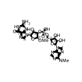 CNc1ncnc2c1ncn2[C@@H]1O[C@H](COP(=O)(O)O[C@H]2[C@@H](OC)O[C@@H](n3cnc4c(=O)[nH]c(N)nc43)[C@H]2O)[C@H](O)[C@@H]1O